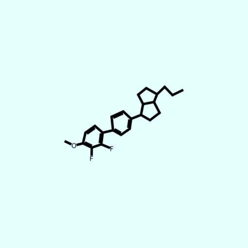 CCCC1CCC2C(c3ccc(-c4ccc(OC)c(F)c4F)cc3)CCC12